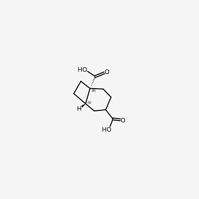 O=C(O)C1CC[C@]2(C(=O)O)CC[C@H]2C1